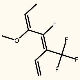 C=C/C(=C(F)\C(=C/C)OC)C(F)(F)F